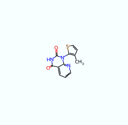 Cc1ccsc1-n1c(=O)[nH]c(=O)c2cccnc21